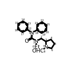 CCN(CC1CCCN1C=O)C(=O)N(c1ccccc1)c1ccccc1